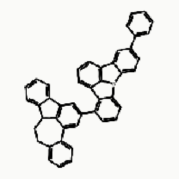 c1ccc(-c2ccc3c(c2)c2cccc4c5c(-c6cc7c8c(c6)-c6ccccc6C8CCc6ccccc6-7)cccc5n3c24)cc1